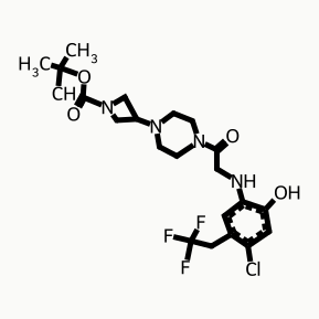 CC(C)(C)OC(=O)N1CC(N2CCN(C(=O)CNc3cc(CC(F)(F)F)c(Cl)cc3O)CC2)C1